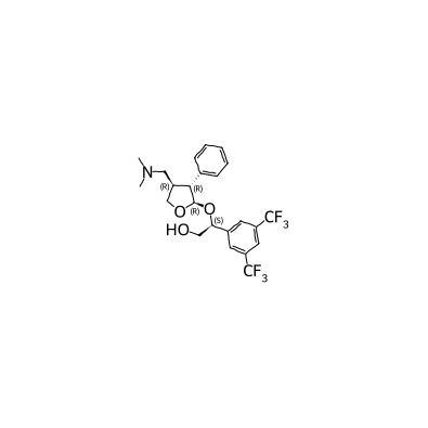 CN(C)C[C@@H]1CO[C@H](O[C@H](CO)c2cc(C(F)(F)F)cc(C(F)(F)F)c2)[C@H]1c1ccccc1